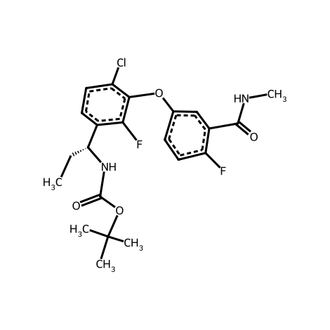 CC[C@@H](NC(=O)OC(C)(C)C)c1ccc(Cl)c(Oc2ccc(F)c(C(=O)NC)c2)c1F